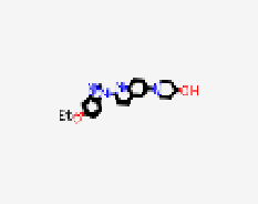 CCOc1ccc2c(c1)ncn2-c1ccc2cc(N3CCC(O)CC3)ccc2n1